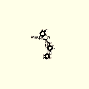 COc1ccc(Cl)cc1NC(=O)NCc1ccc(Oc2ccncc2)cc1